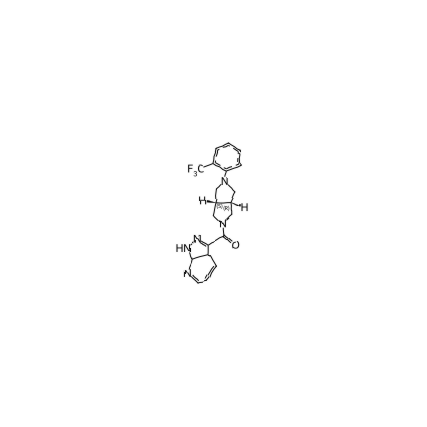 O=C(C1=NNC2N=CC=CC12)N1C[C@@H]2CN(c3ccccc3C(F)(F)F)C[C@@H]2C1